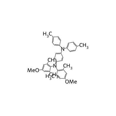 COc1cc(C)c(N(c2ccc(N(c3ccc(C)cc3)c3ccc(C)cc3)cc2)c2c(C)cc(OC)cc2C)c(C)c1